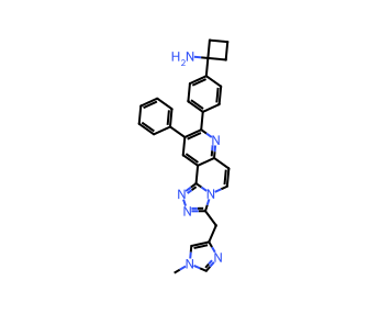 Cn1cnc(Cc2nnc3c4cc(-c5ccccc5)c(-c5ccc(C6(N)CCC6)cc5)nc4ccn23)c1